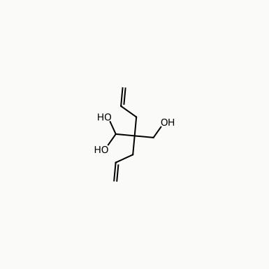 C=CCC(CO)(CC=C)C(O)O